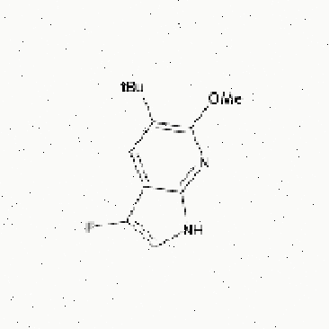 COc1nc2[nH]cc(F)c2cc1C(C)(C)C